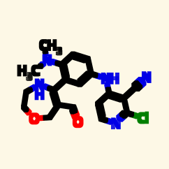 CN(C)c1ccc(Nc2ccnc(Cl)c2C#N)cc1C1=C(C=O)COCCN1